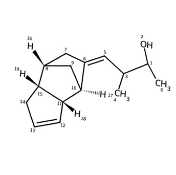 CC(O)C(C)/C=C1/C[C@@H]2C[C@@H]1[C@@H]1C=CC[C@H]21